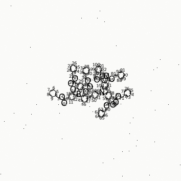 O=C(OCc1ccccc1)c1ccc2c(c1)Oc1c(C(=O)OCc3ccccc3)cc(C(=O)OCc3ccccc3)c3c1B2c1cccc(-c2ccc(-n4c5cc(C(=O)OCc6ccccc6)c(C(=O)OCc6ccccc6)cc5c5cc(C(=O)OCc6ccccc6)c(C(=O)OCc6ccccc6)cc54)cc2)c1O3